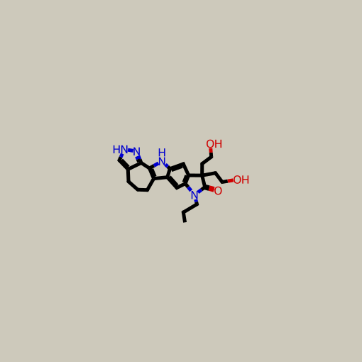 CCCN1C(=O)C(CCO)(CCO)c2cc3[nH]c4c(c3cc21)CCCc1c[nH]nc1-4